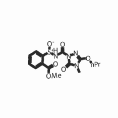 CCCOc1nn(C(=O)N[S+]([O-])c2ccccc2C(=O)OC)c(=O)n1C